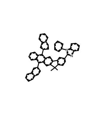 CC1(C)c2ccc(-c3nc4ccccc4n3-c3ccccc3)cc2-c2cc3c(-c4ccc5ccccc5c4)c4ccccc4c(-c4ccc5ccccc5c4)c3cc21